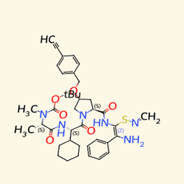 C#Cc1ccc(COC2C[C@@H](C(=O)N/C(SN=C)=C(/N)c3ccccc3)N(C(=O)[C@@H](NC(=O)[C@H](C)N(C)C(=O)OC(C)(C)C)C3CCCCC3)C2)cc1